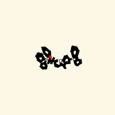 C=C(/C=C\c1oc2ccc(-n3c4ccccc4c4ccccc43)cc2c1C)C(C)(C)C(C)(C)[Si](c1ccccc1)(c1ccccc1)c1ccccc1